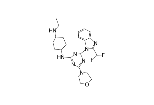 CCNC1CCC(Nc2nc(N3CCOCC3)nc(-n3c(C(F)F)nc4ccccc43)n2)CC1